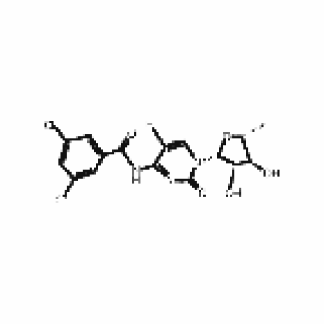 C[C@H]1O[C@@H](n2cc(F)c(NC(=O)c3cc(Cl)cc(Cl)c3)nc2=O)[C@H](O)[C@@H]1O